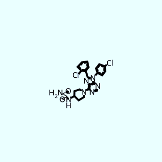 NS(=O)(=O)NC1CCN(c2ncnc3c2nc(-c2ccccc2Cl)n3-c2ccc(Cl)cc2)CC1